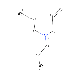 C=CCN(CCC(C)C)CCC(C)C